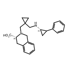 O=C(O)[C@H]1Cc2ccccc2CN1CC1(CN[C@H]2CC2c2ccccc2)CC1